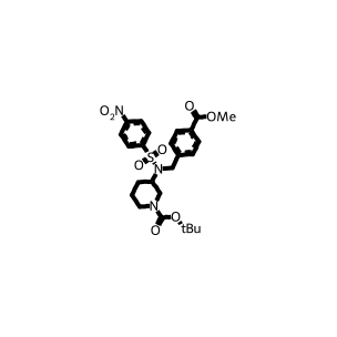 COC(=O)c1ccc(CN(C2CCCN(C(=O)OC(C)(C)C)C2)S(=O)(=O)c2ccc([N+](=O)[O-])cc2)cc1